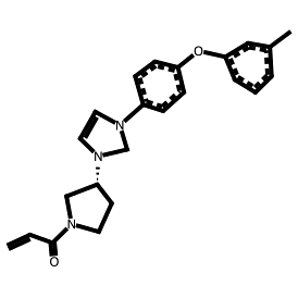 C=CC(=O)N1CC[C@@H](N2C=CN(c3ccc(Oc4cccc(C)c4)cc3)C2)C1